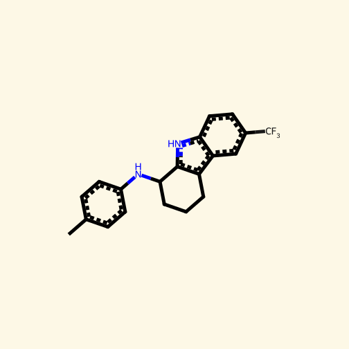 Cc1ccc(NC2CCCc3c2[nH]c2ccc(C(F)(F)F)cc32)cc1